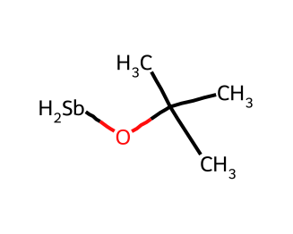 CC(C)(C)[O][SbH2]